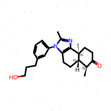 Cc1nc2c(n1-c1cccc(CCCO)c1)CC[C@H]1[C@H](C)C(=O)CC[C@]21C